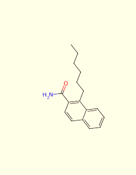 CCCCCCc1c(C(N)=O)ccc2ccccc12